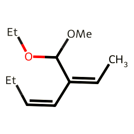 CC=C(/C=C\CC)C(OC)OCC